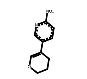 O=[N+]([O-])c1ccc(C2=COCCC2)cn1